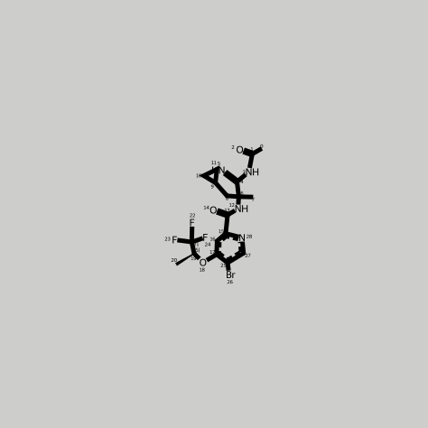 CC(=O)NC(=N)C(C)(CC1CC1)NC(=O)c1cc(O[C@@H](C)C(F)(F)F)c(Br)cn1